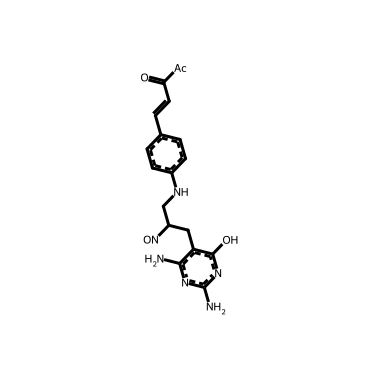 CC(=O)C(=O)/C=C/c1ccc(NCC(Cc2c(N)nc(N)nc2O)N=O)cc1